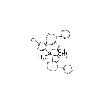 CC1=CC2=C(C=CC=CC2c2ccccc2)C1[Si](C)(c1ccc(Cl)cc1)C1C(C)=CC2=C1C=CC=CC2c1ccccc1